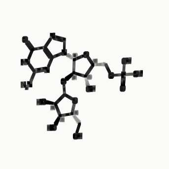 Nc1nc2c(ncn2[C@@H]2O[C@H](COP(=O)(O)O)[C@H](O)[C@H]2OC2O[C@H](CO)[C@@H](O)[C@H]2O)c(=O)[nH]1